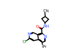 CC(C)c1cnc(C(=O)NC2CC(C#N)C2)c2cnc(Cl)cc12